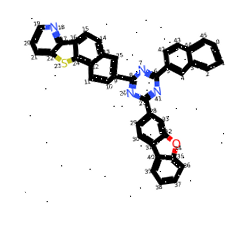 c1ccc2cc(-c3nc(-c4ccc5c(ccc6c7ncccc7sc56)c4)nc(-c4ccc5c(c4)oc4ccccc45)n3)ccc2c1